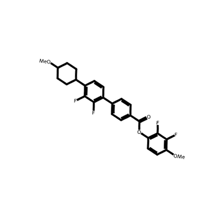 COc1ccc(OC(=O)c2ccc(-c3ccc(C4CCC(OC)CC4)c(F)c3F)cc2)c(F)c1F